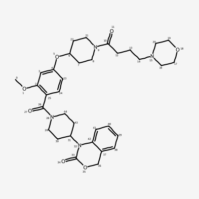 COc1cc(OC2CCN(C(=O)CCCN3CCOCC3)CC2)ccc1C(=O)N1CCC(N2C(=O)OCc3ccccc32)CC1